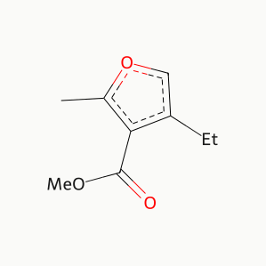 CCc1coc(C)c1C(=O)OC